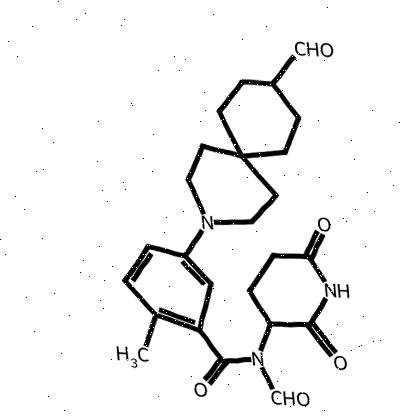 Cc1ccc(N2CCC3(CCC(C=O)CC3)CC2)cc1C(=O)N(C=O)C1CCC(=O)NC1=O